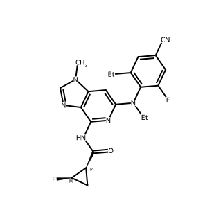 CCc1cc(C#N)cc(F)c1N(CC)c1cc2c(ncn2C)c(NC(=O)[C@H]2C[C@H]2F)n1